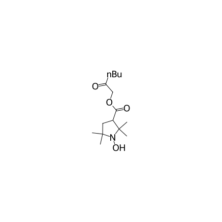 CCCCC(=O)COC(=O)C1CC(C)(C)N(O)C1(C)C